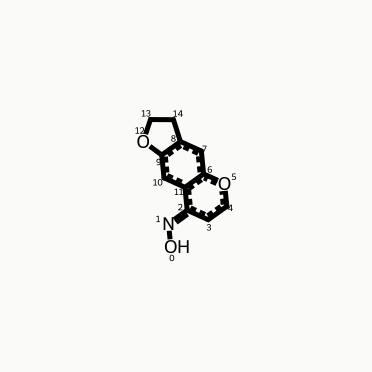 ON=c1ccoc2cc3c(cc12)OCC3